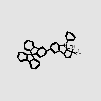 CC1(C)CCC2c3cc(-c4ccc5c(c4)-c4ccccc4C54c5ccccc5-c5ccccc54)ccc3N(c3ccccc3)C21C